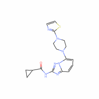 O=C(Nc1nc2cccc(N3CCN(c4nccs4)CC3)n2n1)C1CC1